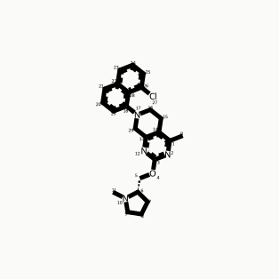 Cc1nc(OC[C@@H]2CCCN2C)nc2c1CCN(c1cccc3cccc(Cl)c13)C2